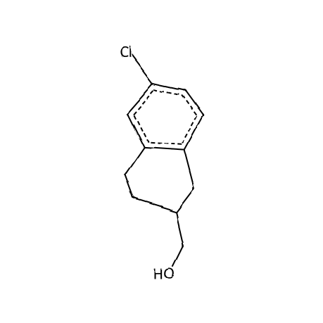 OCC1CCc2cc(Cl)ccc2C1